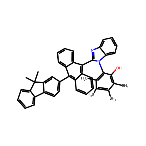 Bc1c(B)c(B)c(-n2c(-c3c4ccccc4c(-c4ccc5c(c4)C(C)(C)c4ccccc4-5)c4ccccc34)nc3ccccc32)c(O)c1B